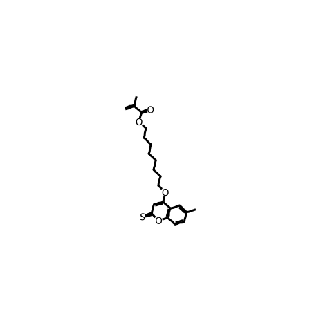 C=C(C)C(=O)OCCCCCCCCOc1cc(=S)oc2ccc(C)cc12